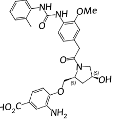 COc1cc(CC(=O)N2C[C@@H](O)C[C@H]2COc2ccc(C(=O)O)cc2N)ccc1NC(=O)Nc1ccccc1C